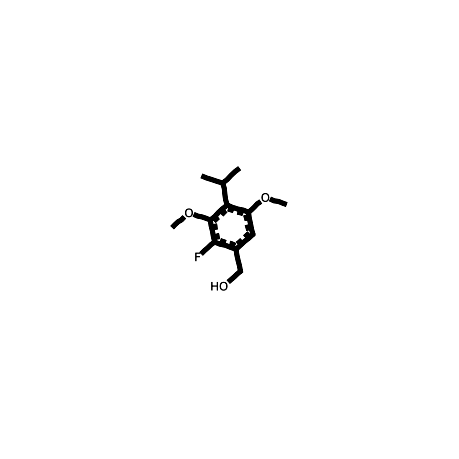 COc1cc(CO)c(F)c(OC)c1C(C)C